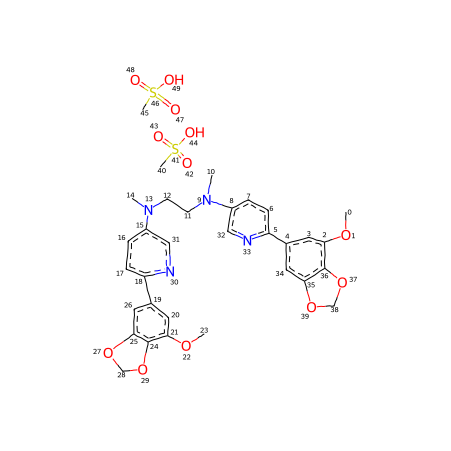 COc1cc(-c2ccc(N(C)CCN(C)c3ccc(-c4cc(OC)c5c(c4)OCO5)nc3)cn2)cc2c1OCO2.CS(=O)(=O)O.CS(=O)(=O)O